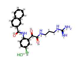 Cl.N=C(N)NCCCNC(=O)C(=O)c1cc(Br)ccc1NC(=O)c1ccc2ccccc2c1